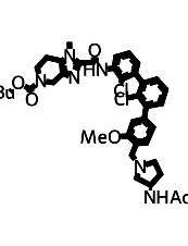 COc1cc(-c2cccc(-c3cccc(NC(=O)c4nc5c(n4C)CCN(C(=O)OC(C)(C)C)C5)c3Cl)c2Cl)ccc1CN1CC[C@@H](NC(C)=O)C1